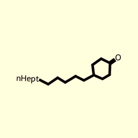 CCCCCCCCCCCCC1CCC(=O)CC1